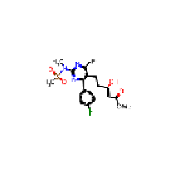 COC(=O)C=C(O)CCc1c(-c2ccc(F)cc2)nc(N(C)S(C)(=O)=O)nc1C(C)C